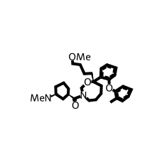 CN[C@H]1CCC[C@@H](C(=O)N2CCCC[C@@](CCCCOC)(c3ccccc3Oc3ccccc3C)OC2)C1